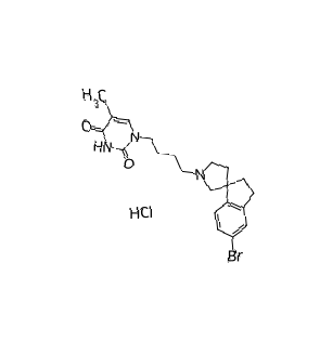 Cc1cn(CCCCN2CCC3(CCc4cc(Br)ccc43)C2)c(=O)[nH]c1=O.Cl